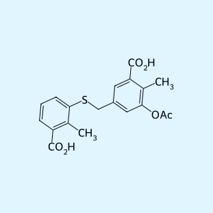 CC(=O)Oc1cc(CSc2cccc(C(=O)O)c2C)cc(C(=O)O)c1C